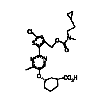 Cc1nc(-c2sc(Cl)cc2COC(=O)N(C)CCC2CC2)ncc1O[C@H]1CCC[C@H](C(=O)O)C1